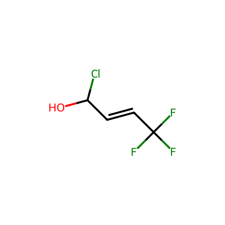 OC(Cl)C=CC(F)(F)F